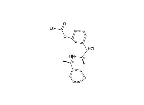 CCC(=O)Oc1cccc(C[C@@H](C)N[C@H](C)c2ccccc2)c1.Cl